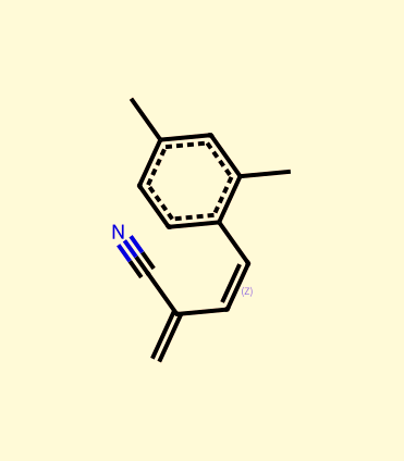 C=C(C#N)/C=C\c1ccc(C)cc1C